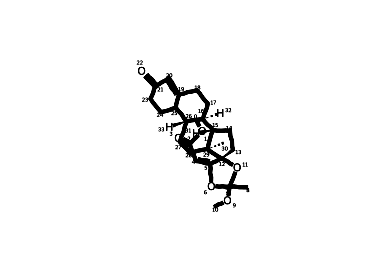 COC(=O)/C=C1/OC(C)(OC)O[C@]12CC[C@H]1[C@@H]3CCC4=CC(=O)CCC4[C@H]3CC[C@@]12C